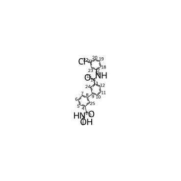 O=C(NO)c1cccc(-c2cccc(C(=O)Nc3cccc(Cl)c3)c2)c1